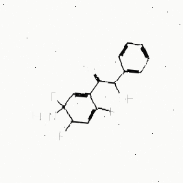 NC1(F)C=C(C(=O)C(O)c2ccccc2)C(F)=CC1F